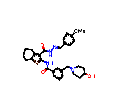 COc1ccc(C=NNC(=O)c2c(NC(=O)c3cccc(CN4CCC(O)CC4)c3)sc3c2CCCC3)cc1